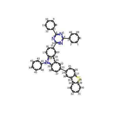 c1ccc(-c2nc(-c3ccccc3)nc(-c3ccc4c(c3)c3cc(-c5ccc6sc7ccccc7c6c5)ccc3n4-c3ccccc3)n2)cc1